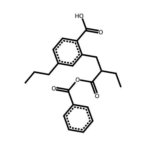 CCCc1ccc(C(=O)O)c(CC(CC)C(=O)OC(=O)c2ccccc2)c1